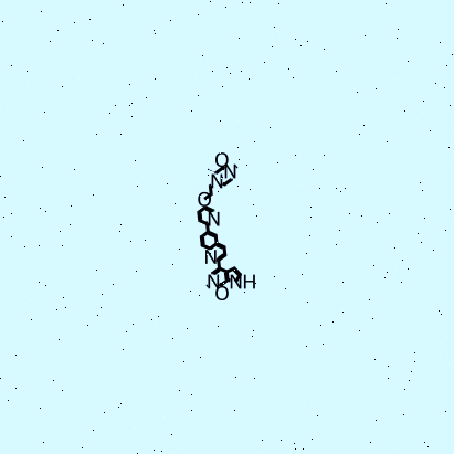 C[C@@H]1C(=O)N(C)CCN1CCOc1ccc(-c2ccc3nc(-c4cn(C)c(=O)c5[nH]ccc45)ccc3c2)nc1